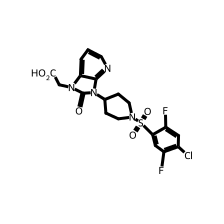 O=C(O)Cn1c(=O)n(C2CCN(S(=O)(=O)c3cc(F)c(Cl)cc3F)CC2)c2ncccc21